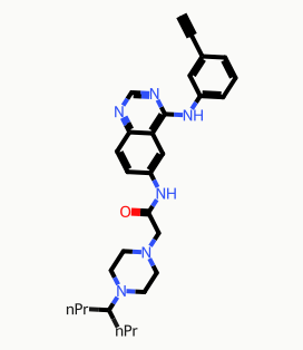 C#Cc1cccc(Nc2ncnc3ccc(NC(=O)CN4CCN(C(CCC)CCC)CC4)cc23)c1